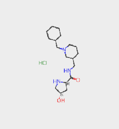 Cl.O=C(NCC1CCCN(CC2CCCCC2)C1)[C@H]1C[C@H](O)CN1